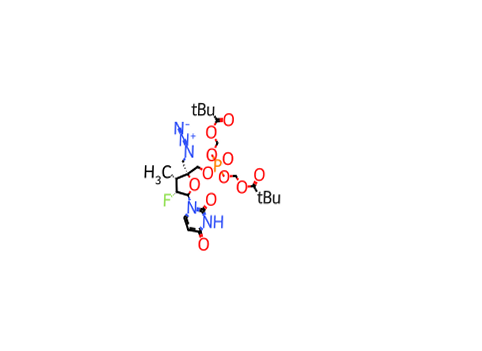 C[C@H]1[C@@H](F)[C@H](n2ccc(=O)[nH]c2=O)O[C@]1(CN=[N+]=[N-])COP(=O)(OCOC(=O)C(C)(C)C)OCOC(=O)C(C)(C)C